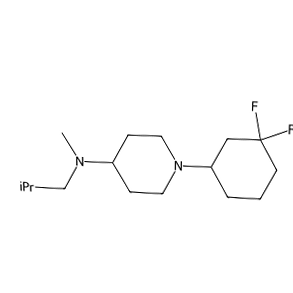 CC(C)CN(C)C1CCN(C2CCCC(F)(F)C2)CC1